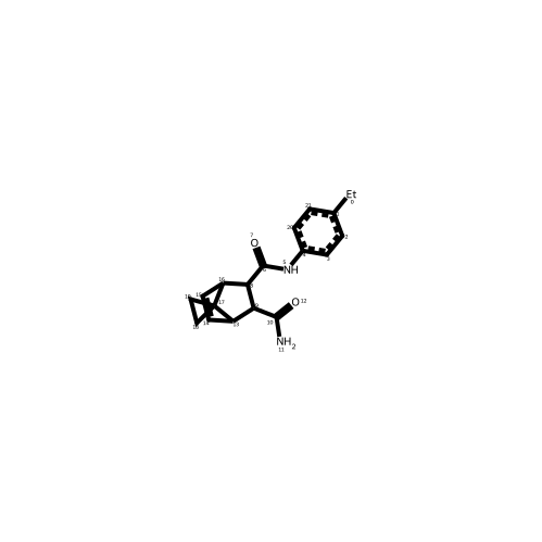 CCc1ccc(NC(=O)C2C(C(N)=O)C3C=CC2C32CC2)cc1